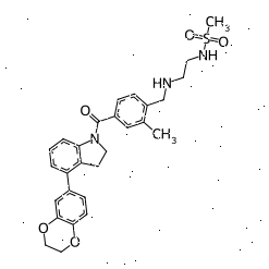 Cc1cc(C(=O)N2CCc3c(-c4ccc5c(c4)OCCO5)cccc32)ccc1CNCCNS(C)(=O)=O